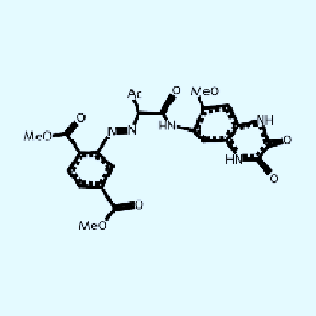 COC(=O)c1ccc(C(=O)OC)c(N=NC(C(C)=O)C(=O)Nc2cc3[nH]c(=O)c(=O)[nH]c3cc2OC)c1